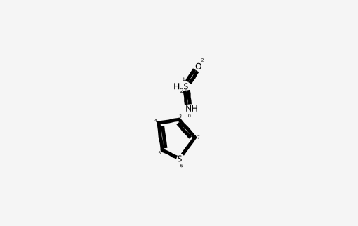 N=[SH2]=O.c1ccsc1